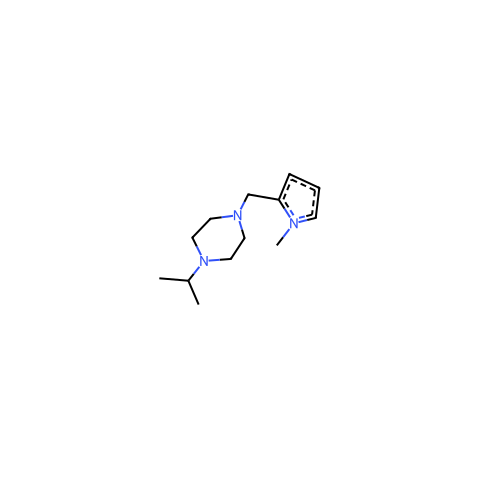 CC(C)N1CCN(Cc2cccn2C)CC1